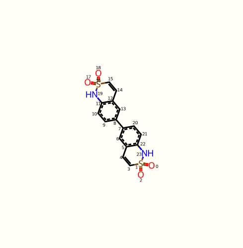 O=S1(=O)C=Cc2cc(-c3ccc4c(c3)C=CS(=O)(=O)N4)ccc2N1